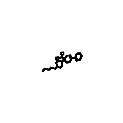 CCCCCC1CCC(C2(C(=O)Cl)C=CC(c3ccccc3)=CC2)CC1